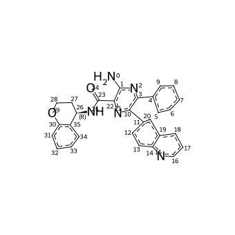 Nc1nc(-c2ccccc2)c(-c2ccc3ncccc3c2)nc1C(=O)N[C@@H]1CCOc2ccccc21